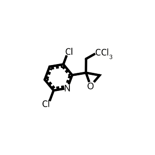 Clc1ccc(Cl)c(C2(CC(Cl)(Cl)Cl)CO2)n1